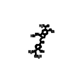 Br.CCOc1cc2c(cc1C(N)=O)C(=N)N(CC(=O)c1ccc(N(C)CC(=O)O)c(C(C)(C)C)c1)C2